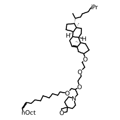 CCCCCCCC/C=C\CCCCCCCCOCC(CN1CCC2(CC1)COC2)OCCOCCOC1CC[C@@]2(C)C(=CCC3[C@H]4CC[C@H](C(C)CCCC(C)C)[C@@]4(C)CC[C@@H]32)C1